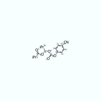 CC(C)C(=O)OC(OC(=O)Oc1ccc(C#N)cc1)C(C)C